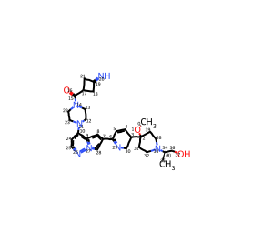 COC1(C2C=CC(c3cc4c(N5CCN(C(=O)C6CC(=N)C6)CC5)ccnn4c3)=NC2)CCN([C@H](C)CO)CC1